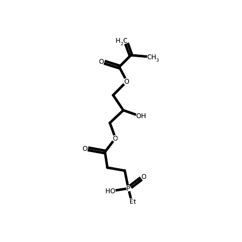 C=C(C)C(=O)OCC(O)COC(=O)CCP(=O)(O)CC